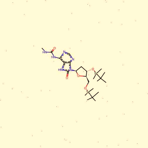 CNC(=O)Nc1ncnc2c1[nH]c(=O)n2[C@H]1C[C@H](O[Si](C)(C)C(C)(C)C)[C@@H](CO[Si](C)(C)C(C)(C)C)O1